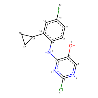 Oc1cnc(Cl)nc1Nc1ccc(F)cc1C1CC1